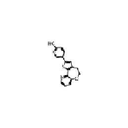 N#Cc1ccc(-c2cc3c(s2)-c2ncccc2OCC3)cn1